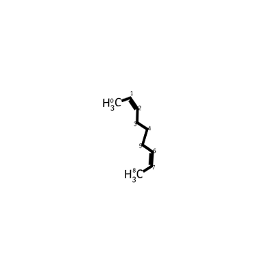 C/C=C\CCC/C=C\C